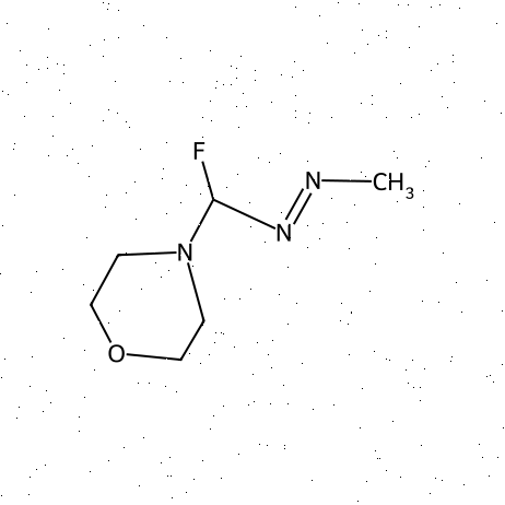 CN=NC(F)N1CCOCC1